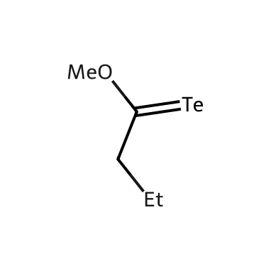 CCCC(=[Te])OC